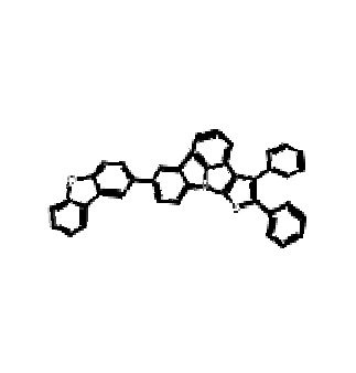 c1ccc(-c2sc3c(c2-c2ccccc2)c2cccc4c5cc(-c6ccc7oc8ccccc8c7c6)ccc5n3c42)cc1